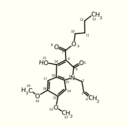 C=CCn1c(=O)c(C(=O)OCCCC)c(O)c2cc(OC)c(OC)cc21